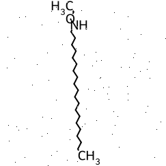 CCCCCCCCCCCCCCCCCCCCNOCC